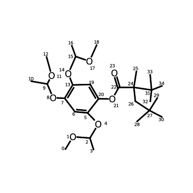 COC(C)Oc1cc(OC(C)OC)c(OC(C)OC)cc1OC(=O)C(C)(CC(C)(C)C)C(C)(C)C